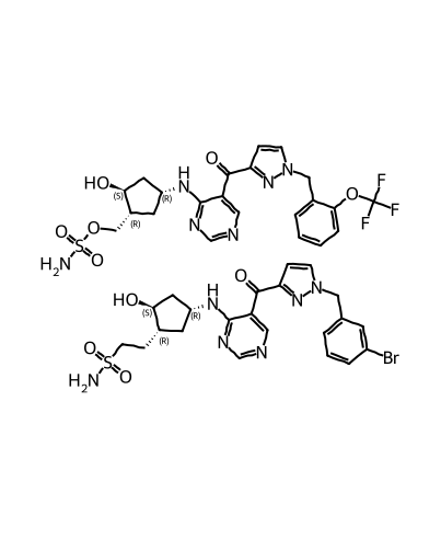 NS(=O)(=O)CC[C@H]1C[C@@H](Nc2ncncc2C(=O)c2ccn(Cc3cccc(Br)c3)n2)C[C@@H]1O.NS(=O)(=O)OC[C@H]1C[C@@H](Nc2ncncc2C(=O)c2ccn(Cc3ccccc3OC(F)(F)F)n2)C[C@@H]1O